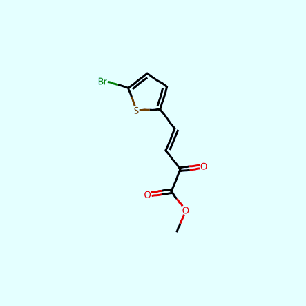 COC(=O)C(=O)C=Cc1ccc(Br)s1